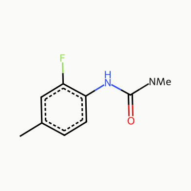 CNC(=O)Nc1ccc(C)cc1F